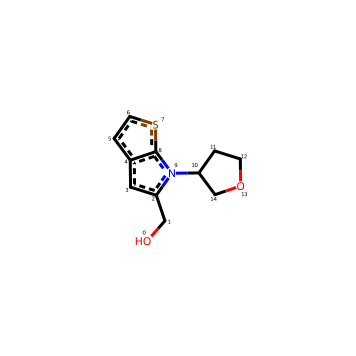 OCc1cc2ccsc2n1C1CCOC1